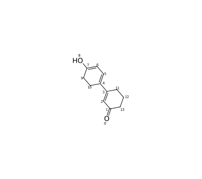 O=C1C=C(C2=CC=C(O)CC2)CCC1